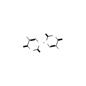 Cc1cn([N+]2C=C(F)C(=O)NC2=O)c(=O)[nH]c1=O